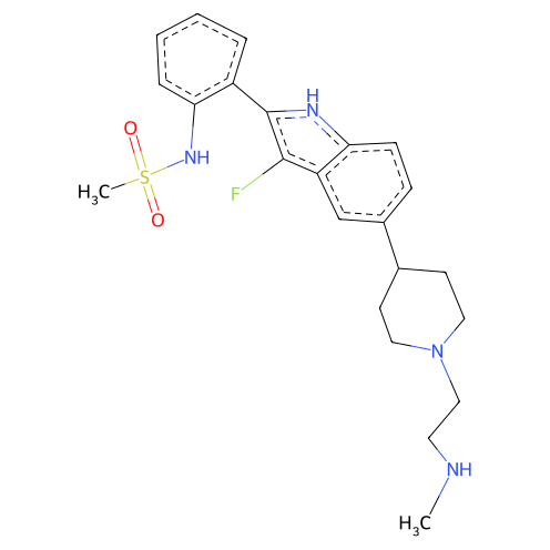 CNCCN1CCC(c2ccc3[nH]c(-c4ccccc4NS(C)(=O)=O)c(F)c3c2)CC1